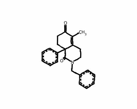 CC1=C2CCN(Cc3ccccc3)C(=O)C2(c2ccccc2)CCC1=O